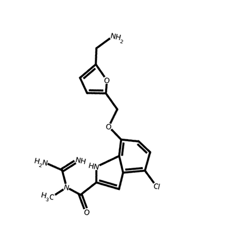 CN(C(=N)N)C(=O)c1cc2c(Cl)ccc(OCc3ccc(CN)o3)c2[nH]1